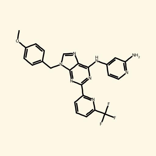 COc1ccc(Cn2cnc3c(Nc4ccnc(N)c4)nc(-c4cccc(C(F)(F)F)n4)nc32)cc1